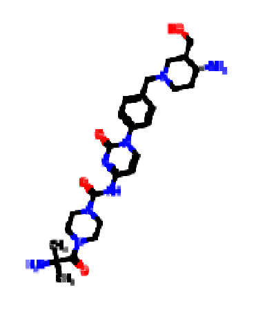 CC(C)(N)C(=O)N1CCN(C(=O)Nc2ccn(-c3ccc(CN4CC[C@@H](N)[C@H](CO)C4)cc3)c(=O)n2)CC1